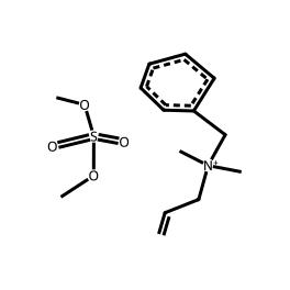 C=CC[N+](C)(C)Cc1ccccc1.COS(=O)(=O)OC